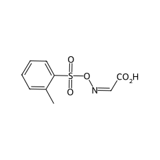 Cc1ccccc1S(=O)(=O)O/N=C\C(=O)O